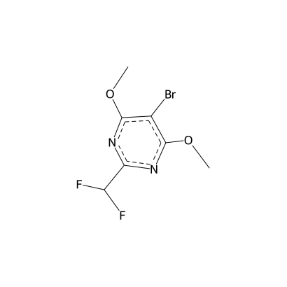 COc1nc(C(F)F)nc(OC)c1Br